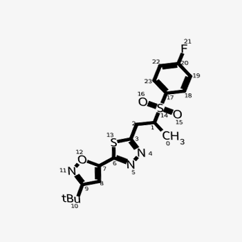 CC(Cc1nnc(-c2cc(C(C)(C)C)no2)s1)S(=O)(=O)c1ccc(F)cc1